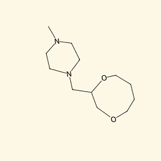 CN1CCN(CC2COCCCCO2)CC1